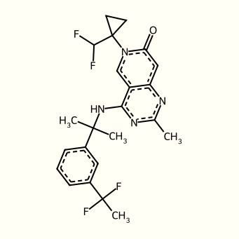 Cc1nc(NC(C)(C)c2cccc(C(C)(F)F)c2)c2cn(C3(C(F)F)CC3)c(=O)cc2n1